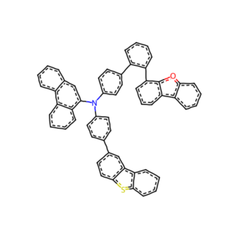 c1ccc(-c2cccc3c2oc2ccccc23)c(-c2ccc(N(c3ccc(-c4ccc5sc6ccccc6c5c4)cc3)c3cc4ccccc4c4ccccc34)cc2)c1